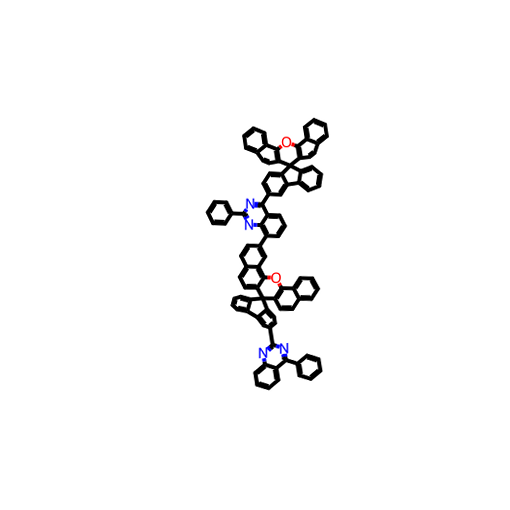 c1ccc(-c2nc(-c3ccc4c(c3)-c3ccccc3C43c4ccc5ccccc5c4Oc4c3ccc3ccccc43)c3cccc(-c4ccc5ccc6c(c5c4)Oc4c(ccc5ccccc45)C64c5ccccc5-c5cc(-c6nc(-c7ccccc7)c7ccccc7n6)ccc54)c3n2)cc1